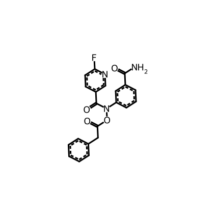 NC(=O)c1cccc(N(OC(=O)Cc2ccccc2)C(=O)c2ccc(F)nc2)c1